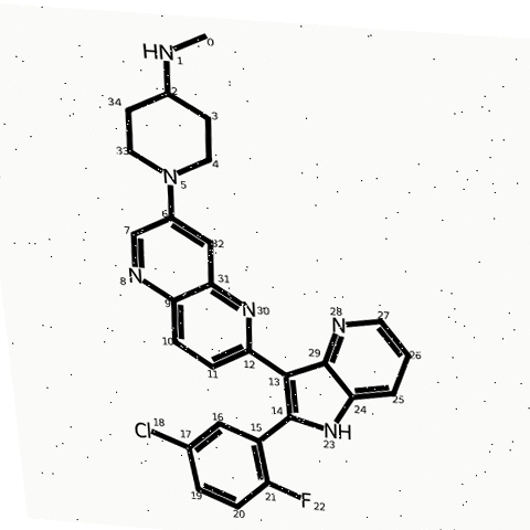 CNC1CCN(c2cnc3ccc(-c4c(-c5cc(Cl)ccc5F)[nH]c5cccnc45)nc3c2)CC1